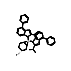 CC(C)C1=Cc2c(-c3ccccc3)cccc2[CH]1[Ti+2]1([CH]2C(C(C)C)=Cc3c(-c4ccccc4)cccc32)[CH]2CCCC[CH]21.[Cl-].[Cl-]